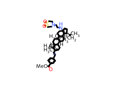 C=C(C)[C@@H]1CC[C@]2(NCCN3CCS(=O)(=O)CC3)CC[C@]3(C)[C@H](CC[C@@H]4[C@@]5(C)CC=C(/C=C/c6ccc(C(=O)OC)cc6)C(C)(C)[C@@H]5CC[C@]43C)[C@@H]12